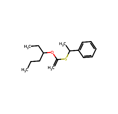 C=C(OC(CC)CCC)SC(C)c1ccccc1